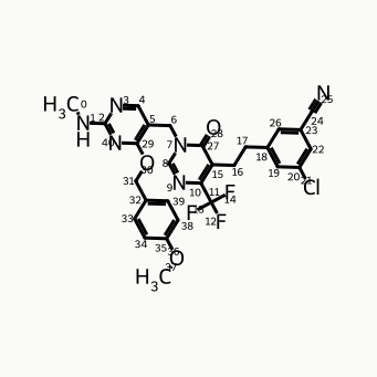 CNc1ncc(Cn2cnc(C(F)(F)F)c(CCc3cc(Cl)cc(C#N)c3)c2=O)c(OCc2ccc(OC)cc2)n1